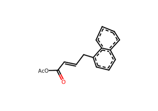 CC(=O)OC(=O)C=CCc1cccc2ccccc12